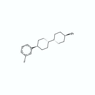 CCC[C@H]1CC[C@H]([C@H]2CC[C@H](c3cccc(F)c3)CC2)CC1